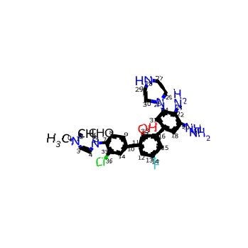 CN(C)/C=C\N(C=O)c1ccc(-c2cc(F)cc(-c3cc(NN)c(N)c(N4CCNCC4)c3)c2O)cc1Cl